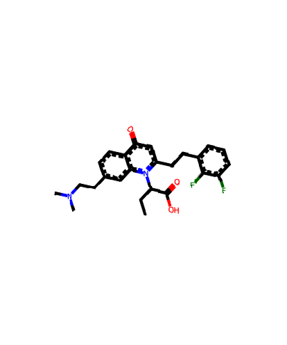 CCC(C(=O)O)n1c(CCc2cccc(F)c2F)cc(=O)c2ccc(CCN(C)C)cc21